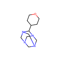 C1CC(C2N3CN4CN(C3)CN2C4)CCO1